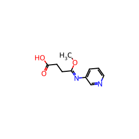 COC(CCC(=O)O)=Nc1cccnc1